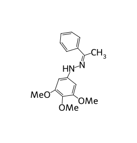 COc1cc(NN=C(C)c2ccccc2)cc(OC)c1OC